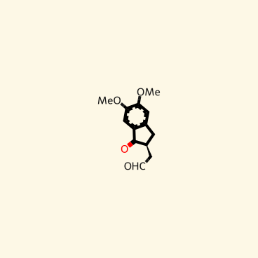 COc1cc2c(cc1OC)C(=O)[C@H](CC=O)C2